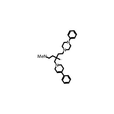 [CH2]C(CCNC)(CCN1CCN(c2ccccc2)CC1)CN1CC=C(c2ccccc2)CC1